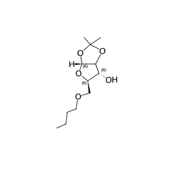 CCCCOC[C@H]1O[C@@H]2OC(C)(C)OC2[C@@H]1O